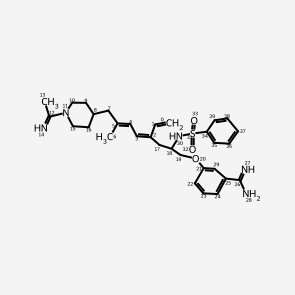 C=C/C(=C\C=C(/C)CC1CCN(C(C)=N)CC1)CC(COc1cccc(C(=N)N)c1)NS(=O)(=O)c1ccccc1